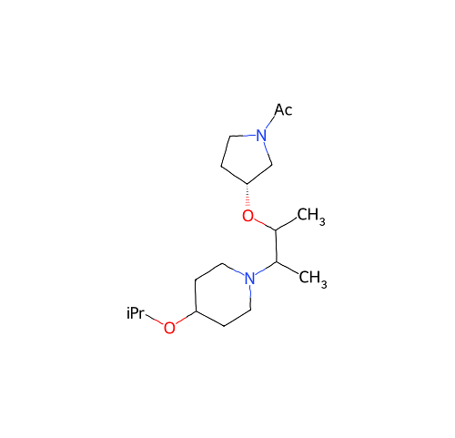 CC(=O)N1CC[C@@H](OC(C)C(C)N2CCC(OC(C)C)CC2)C1